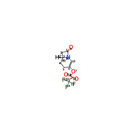 O=C1C[C@H]2CCC(OS(=O)(=O)C(F)(F)F)=CN12